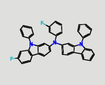 Fc1cccc(N(c2ccc3c4ccccc4n(-c4ccccc4)c3c2)c2ccc3c4ccc(F)cc4n(-c4ccccc4)c3c2)c1